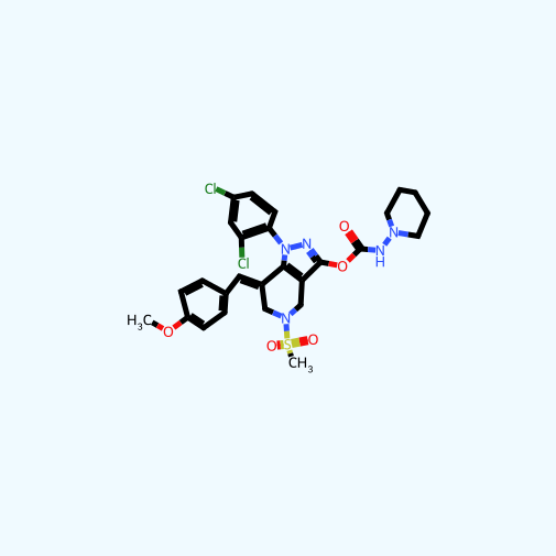 COc1ccc(/C=C2\CN(S(C)(=O)=O)Cc3c(OC(=O)NN4CCCCC4)nn(-c4ccc(Cl)cc4Cl)c32)cc1